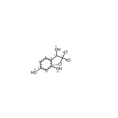 Oc1ccc(C(O)C(Cl)(Cl)Cl)c(O)c1